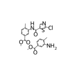 COC(=O)c1ccc(C)c(N)c1.COC(=O)c1ccc(C)c(NC(=O)c2cnc(Cl)s2)c1